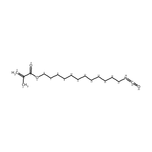 C=C(C)C(=O)OCCCCCCCCCCCCN=C=O